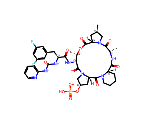 C[C@@H]1C[C@H]2C(=O)O[C@@H](C)[C@H](NC(=O)[C@H](Cc3cc(F)cc(F)c3)NC(=O)Nc3ccccn3)C(=O)N3C[C@H](OP(=O)(O)O)C[C@H]3C(=O)N3CCCC[C@H]3C(=O)N[C@@H](C)C(=O)N2C1